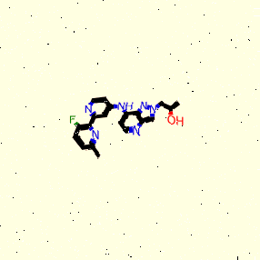 Cc1ccc(F)c(-c2cc(Nc3ccnc4cn(CC(C)O)nc34)ccn2)n1